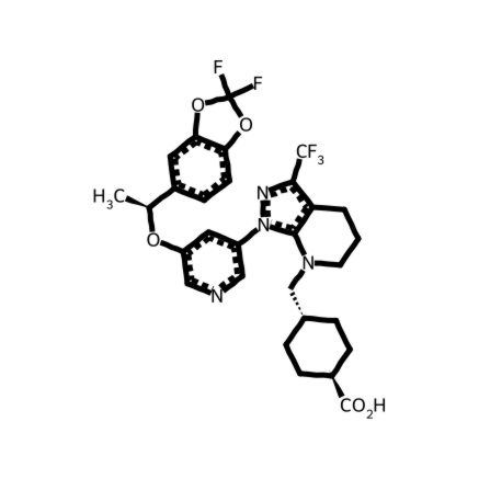 C[C@H](Oc1cncc(-n2nc(C(F)(F)F)c3c2N(C[C@H]2CC[C@H](C(=O)O)CC2)CCC3)c1)c1ccc2c(c1)OC(F)(F)O2